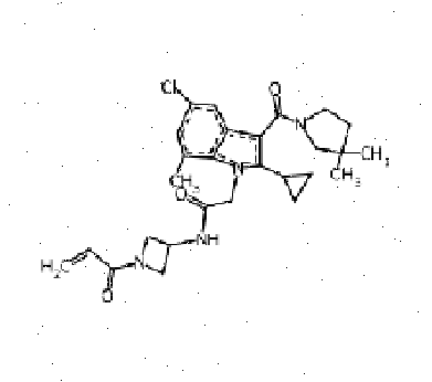 C=CC(=O)N1CC(NC(=O)Cn2c(C3CC3)c(C(=O)N3CCC(C)(C)C3)c3cc(Cl)cc(C)c32)C1